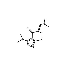 CC(C)n1cnc2c1C(=O)C(=CN(C)C)CC2